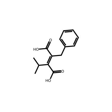 CC(C)C(C(=O)O)=C(Cc1ccccc1)C(=O)O